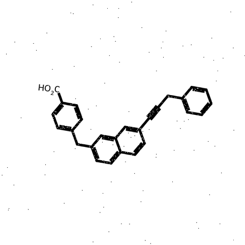 O=C(O)c1ccc(Cc2ccc3ccc(C#CCc4ccccc4)cc3c2)cc1